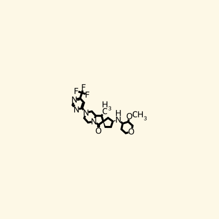 COC1COCCC1N[C@@H]1CC[C@@]2(C1)C(=O)N1CCN(c3cc(C(F)(F)F)ncn3)CC1C2C